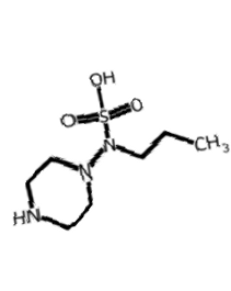 CCCN(N1CCNCC1)S(=O)(=O)O